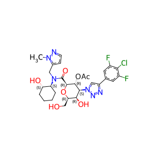 CC(=O)O[C@@H]1[C@@H](n2cc(-c3cc(F)c(Cl)c(F)c3)nn2)[C@@H](O)[C@@H](CO)O[C@H]1C(=O)N(Cc1ccnn1C)[C@H]1CCCC[C@@H]1O